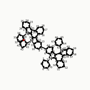 c1ccc(-n2c3cc(-c4ccc5c(c4)c4c6ccccc6c6c7ccccc7n(-c7ccccc7)c6c4n5-c4ccccc4)ccc3c3c2c2ccccc2c2c4ccccc4n(-c4ccccc4)c23)cc1